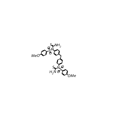 COc1ccc(S(=O)(=O)N(C(N)=S)c2ccc(Cc3ccc(N(C(N)=S)S(=O)(=O)c4ccc(OC)cc4)cc3)cc2)cc1